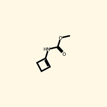 COC(=O)NC1=CCC1